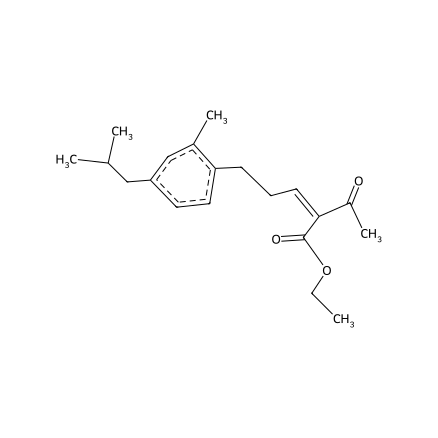 CCOC(=O)C(=CCCc1ccc(CC(C)C)cc1C)C(C)=O